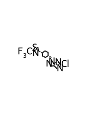 FC(F)(F)c1nc(-c2ccc(Cn3ncc4cnc(Cl)nc43)cc2)cs1